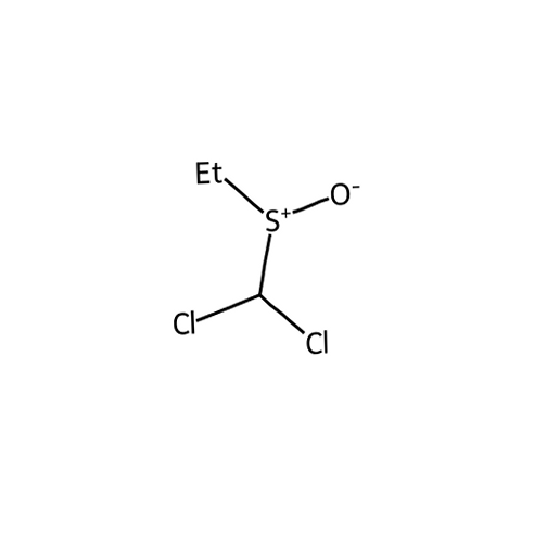 CC[S+]([O-])C(Cl)Cl